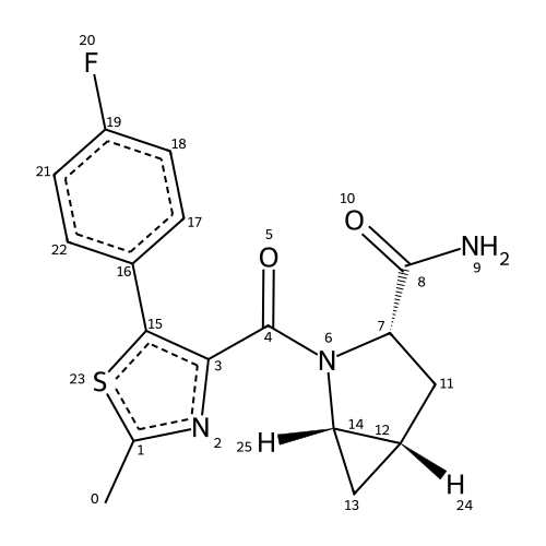 Cc1nc(C(=O)N2[C@H](C(N)=O)C[C@@H]3C[C@@H]32)c(-c2ccc(F)cc2)s1